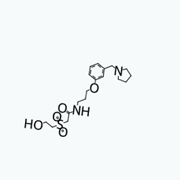 O=C(CS(=O)(=O)CCO)NCCCOc1cccc(CN2CCCC2)c1